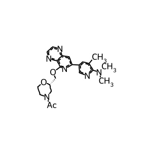 CC(=O)N1CCO[C@H](COc2nc(-c3cnc(N(C)C)c(C)c3)cc3nccnc23)C1